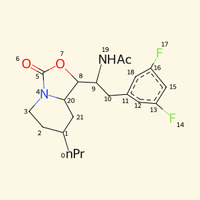 CCCC1CCN2C(=O)OC(C(Cc3cc(F)cc(F)c3)NC(C)=O)C2C1